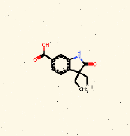 CCC1(CC)C(=O)Nc2cc(C(=O)O)ccc21